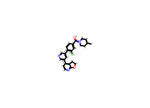 CC1CCN(C(=O)c2ccc(-c3cncc(-c4ccnc5c4CCO5)c3)c(Cl)c2)CC1